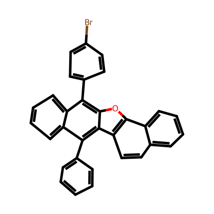 Brc1ccc(-c2c3ccccc3c(-c3ccccc3)c3c2oc2c4ccccc4ccc23)cc1